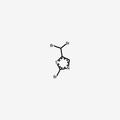 Brc1ncc(C(Br)Br)s1